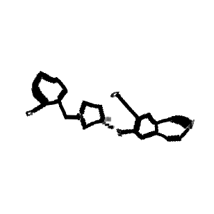 Clc1ccccc1CN1CC[C@H](Sc2cc3ccncc3cc2Cl)C1